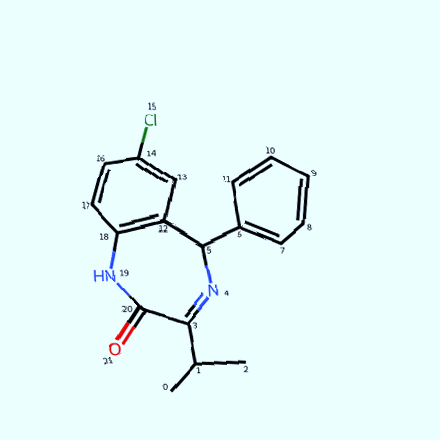 CC(C)C1=NC(c2ccccc2)c2cc(Cl)ccc2NC1=O